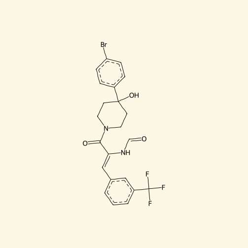 O=CNC(=Cc1cccc(C(F)(F)F)c1)C(=O)N1CCC(O)(c2ccc(Br)cc2)CC1